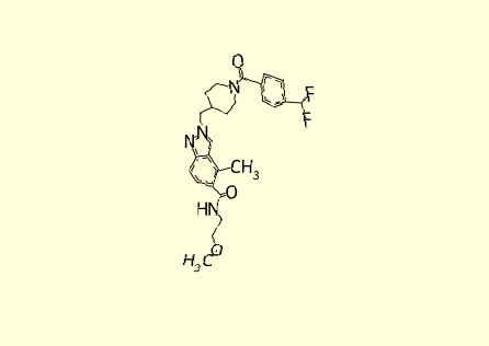 COCCNC(=O)c1ccc2nn(CC3CCN(C(=O)c4ccc(C(F)F)cc4)CC3)cc2c1C